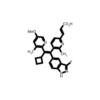 COc1cnc(/C(=C(/c2ccc3[nH]nc(F)c3c2)c2ccc(/C=C/C(=O)O)nc2C)C2CCC2)c(C)c1